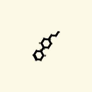 CCCC1CCC(C2CC=CCC2)CC1